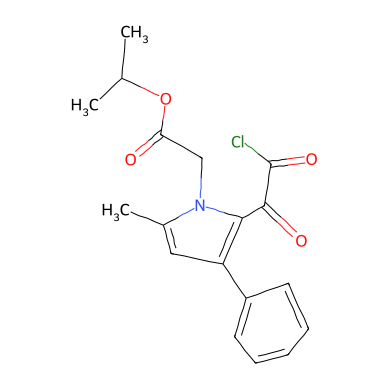 Cc1cc(-c2ccccc2)c(C(=O)C(=O)Cl)n1CC(=O)OC(C)C